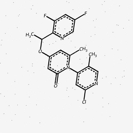 Cc1cnc(Cl)cc1-n1c(C)cc(OC(C)c2ncc(F)cc2F)cc1=O